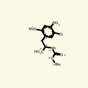 COc1cc([N+](=O)[O-])c(Cl)cc1CC(NC(=O)OC(C)(C)C)C(=O)O